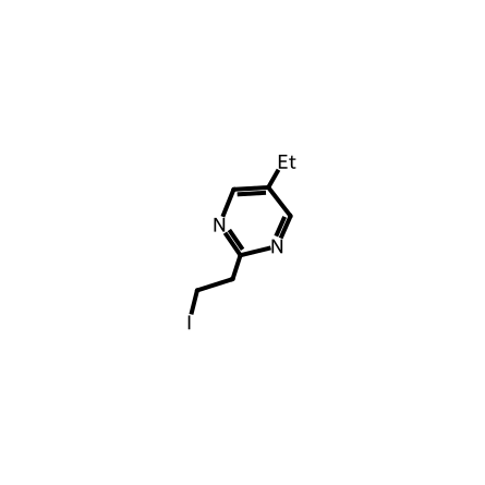 CCc1cnc(CCI)nc1